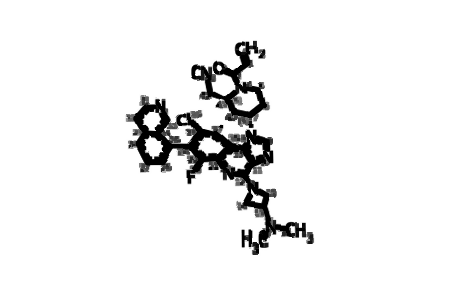 C=CC(=O)N1CC[C@H](n2cnc3c(N4CC(N(C)C)C4)nc4c(F)c(-c5cccc6ccncc56)c(Cl)cc4c32)C[C@H]1CC#N